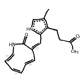 Cc1c[nH]c(/C=C2/C=C/C=C\C=C\NC2=O)c1CCC(=O)O